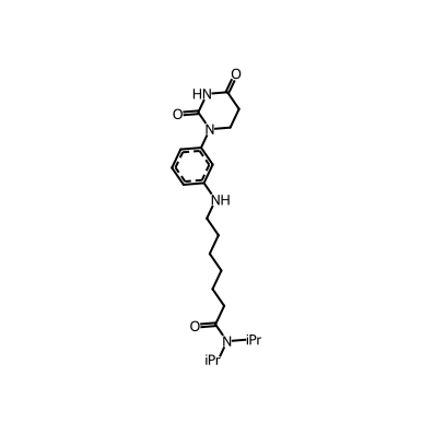 CC(C)N(C(=O)CCCCCCNc1cccc(N2CCC(=O)NC2=O)c1)C(C)C